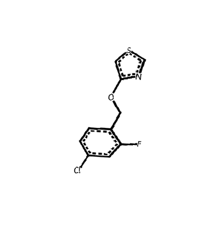 Fc1cc(Cl)ccc1COc1cscn1